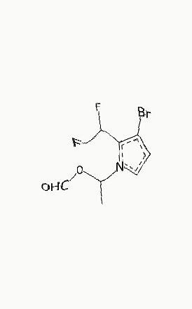 CC(OC=O)n1ccc(Br)c1C(F)F